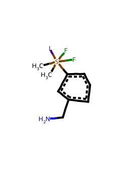 CS(C)(F)(F)(I)c1cccc(CN)c1